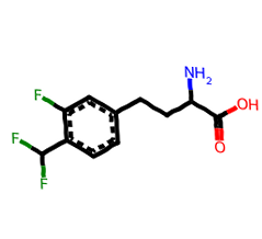 NC(CCc1ccc(C(F)F)c(F)c1)C(=O)O